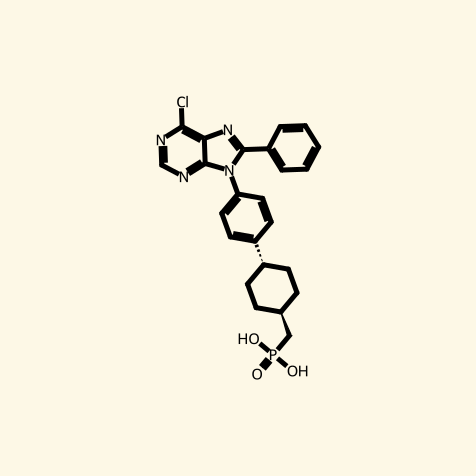 O=P(O)(O)C[C@H]1CC[C@H](c2ccc(-n3c(-c4ccccc4)nc4c(Cl)ncnc43)cc2)CC1